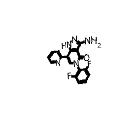 Nc1n[nH]c2c(-c3ccccn3)cn(-c3c(F)cccc3F)c(=O)c12